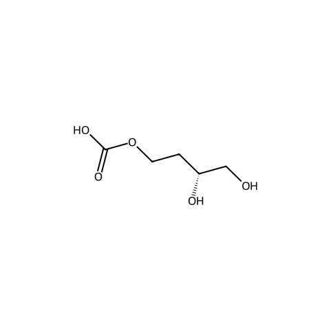 O=C(O)OCC[C@@H](O)CO